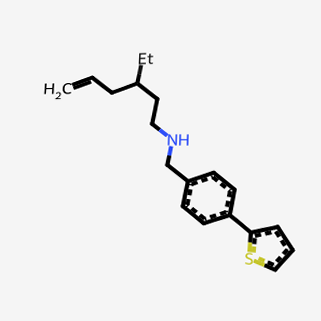 C=CCC(CC)CCNCc1ccc(-c2cccs2)cc1